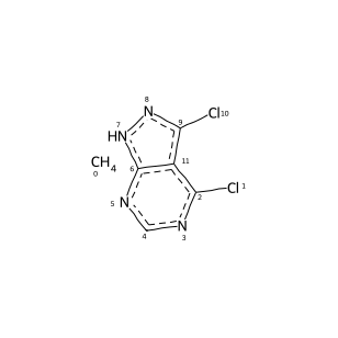 C.Clc1ncnc2[nH]nc(Cl)c12